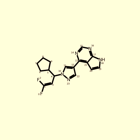 FC(F)=CC(C1CCCC1)n1cc(-c2ncnc3[nH]ccc23)cn1